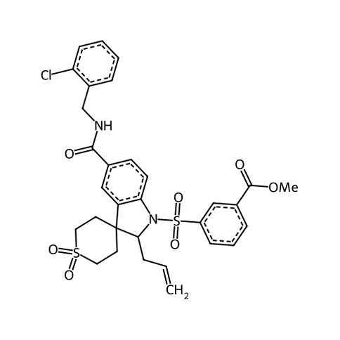 C=CCC1N(S(=O)(=O)c2cccc(C(=O)OC)c2)c2ccc(C(=O)NCc3ccccc3Cl)cc2C12CCS(=O)(=O)CC2